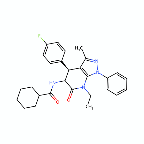 CCN1C(=O)C(NC(=O)C2CCCCC2)[C@@H](c2ccc(F)cc2)c2c(C)nn(-c3ccccc3)c21